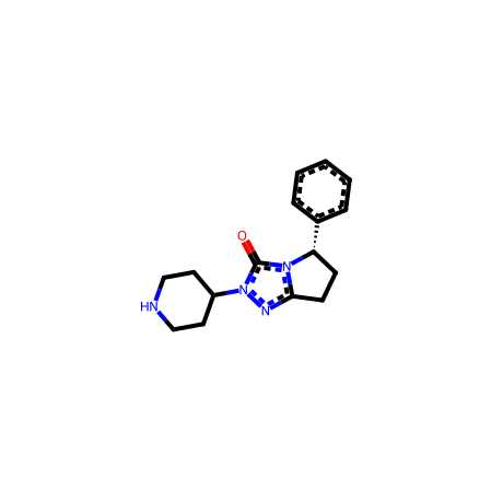 O=c1n(C2CCNCC2)nc2n1[C@H](c1ccccc1)CC2